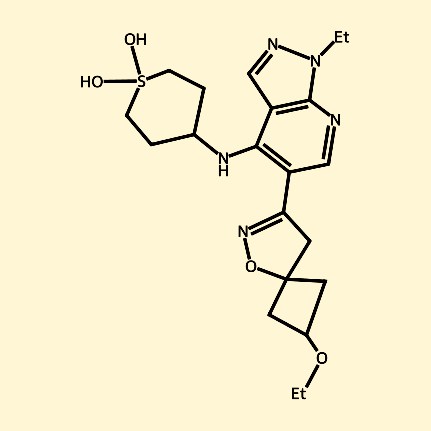 CCOC1CC2(CC(c3cnc4c(cnn4CC)c3NC3CCS(O)(O)CC3)=NO2)C1